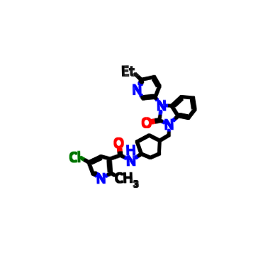 CCc1ccc(-n2c(=O)n(CC3CCC(NC(=O)c4cc(Cl)cnc4C)CC3)c3ccccc32)cn1